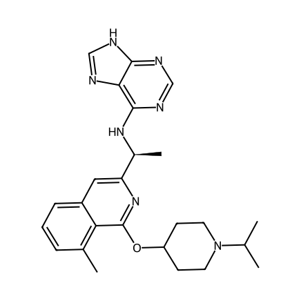 Cc1cccc2cc([C@H](C)Nc3ncnc4[nH]cnc34)nc(OC3CCN(C(C)C)CC3)c12